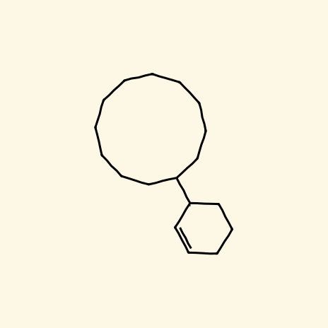 C1=C[C](C2CCCCCCCCCCC2)CCC1